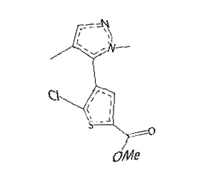 COC(=O)c1cc(-c2c(C)cnn2C)c(Cl)s1